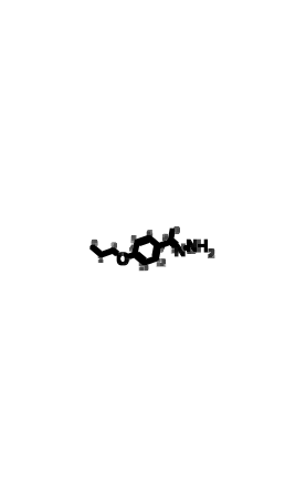 CCCOc1ccc(/C(C)=N/N)cc1